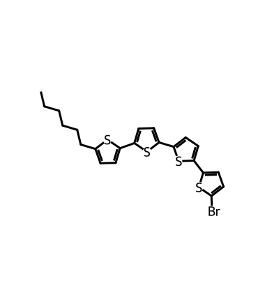 CCCCCCc1ccc(-c2ccc(-c3ccc(-c4ccc(Br)s4)s3)s2)s1